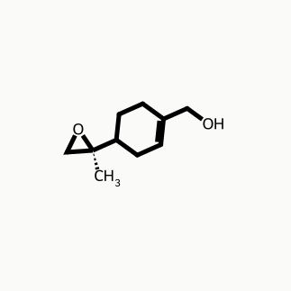 C[C@]1(C2CC=C(CO)CC2)CO1